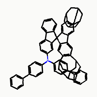 c1ccc(-c2ccc(N(c3ccc(-c4ccccc4)cc3)c3ccc4c(c3)C3(c5ccccc5-4)c4cc5c(cc4-c4cc6c(cc43)C3CC4CC7CC6CC74C3)C3CC4CC(C3)CC5C4)cc2)cc1